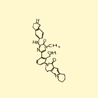 Cn1cc(-c2cccc(N3CCc4c(cc5n4CCCC5)C3=O)c2CO)nc(Nc2ccc3c(c2)CCNC3)c1=O